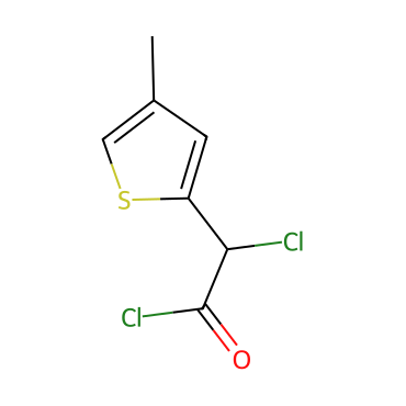 Cc1csc(C(Cl)C(=O)Cl)c1